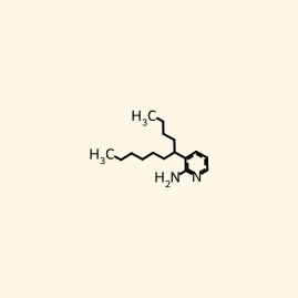 CCCCCCC(CCCC)c1cccnc1N